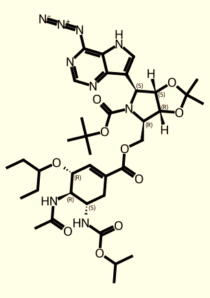 CCC(CC)O[C@@H]1C=C(C(=O)OC[C@@H]2[C@H]3OC(C)(C)O[C@H]3[C@H](c3c[nH]c4c(N=[N+]=[N-])ncnc34)N2C(=O)OC(C)(C)C)C[C@H](NC(=O)OC(C)C)[C@H]1NC(C)=O